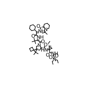 CC[C@@H]1C[C@]1(NC(=O)[C@@H]1C[C@@]2(CN1C(=O)[C@@H](NC(=O)[C@@H](NC(=O)[C@@H]1CCCCN1C(C)C)C1CCCCC1)C(C)(C)C)C(C)(C)C21CCC1)C(=O)NS(=O)(=O)N(CC)CC